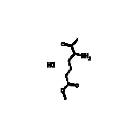 COC(=O)CCCC(N)C(C)=O.Cl